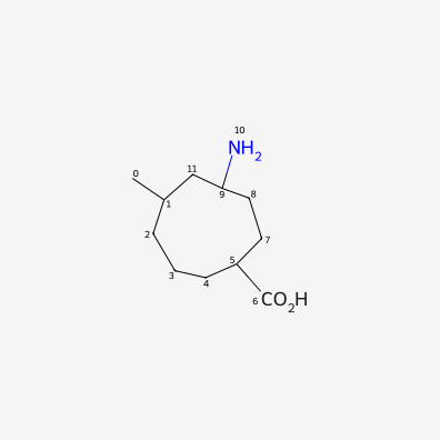 CC1CCCC(C(=O)O)CCC(N)C1